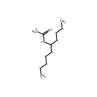 CCCCCC(CCCC)OC(C)=O